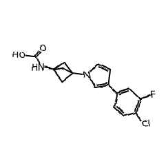 O=C(O)NC12CC(n3ccc(-c4ccc(Cl)c(F)c4)c3)(C1)C2